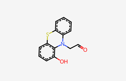 O=CCN1c2ccccc2Sc2cccc(O)c21